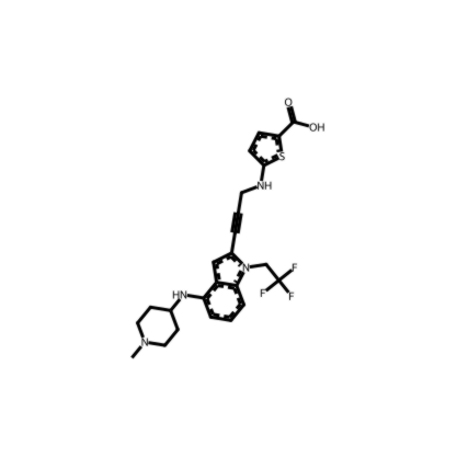 CN1CCC(Nc2cccc3c2cc(C#CCNc2ccc(C(=O)O)s2)n3CC(F)(F)F)CC1